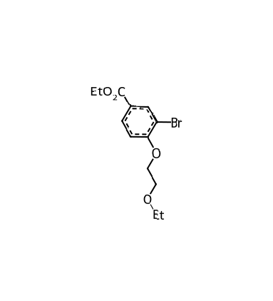 CCOCCOc1ccc(C(=O)OCC)cc1Br